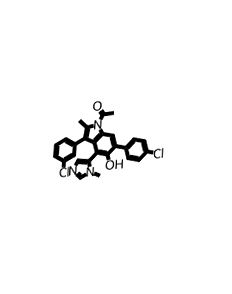 CC(=O)n1c(C)c(-c2cccc(Cl)c2)c2c(-c3cncn3C)c(O)c(-c3ccc(Cl)cc3)cc21